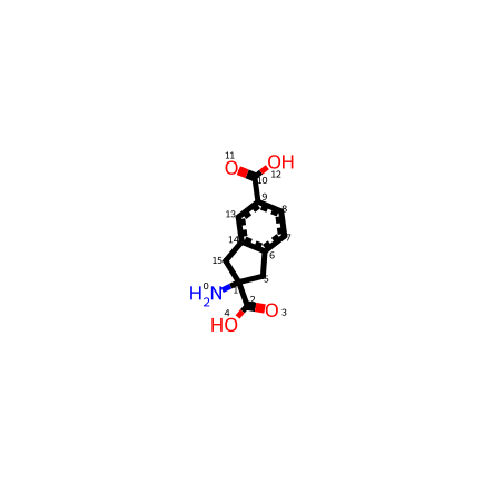 NC1(C(=O)O)Cc2ccc(C(=O)O)cc2C1